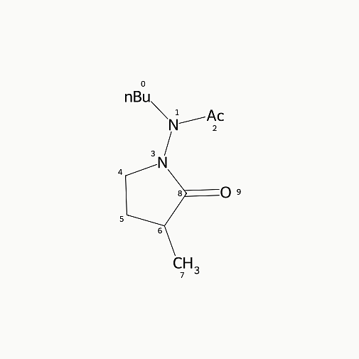 CCCCN(C(C)=O)N1CCC(C)C1=O